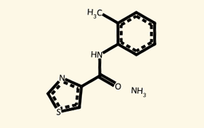 Cc1ccccc1NC(=O)c1cscn1.N